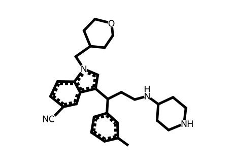 Cc1cccc(C(CCNC2CCNCC2)c2cn(CC3CCOCC3)c3ccc(C#N)cc23)c1